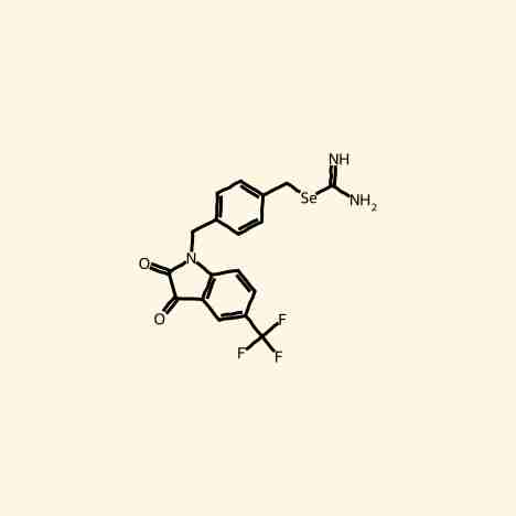 N=C(N)[Se]Cc1ccc(CN2C(=O)C(=O)c3cc(C(F)(F)F)ccc32)cc1